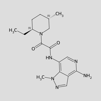 CC[C@H]1CC[C@H](C)CN1C(=O)C(=O)Nc1cnc(N)c2cnn(C)c12